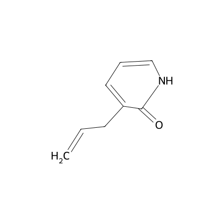 C=CCc1ccc[nH]c1=O